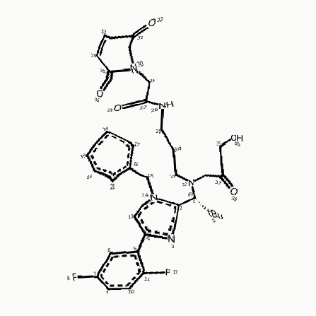 CC(C)(C)[C@H](c1nc(-c2cc(F)ccc2F)cn1Cc1ccccc1)N(CCCNC(=O)CN1C(=O)C=CC1=O)C(=O)CO